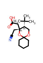 CC(C)(C)[C@@H]1COC2(CCCCC2)O[C@]1(CC#N)CC(=O)O